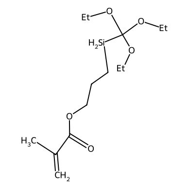 C=C(C)C(=O)OCCC[SiH2]C(OCC)(OCC)OCC